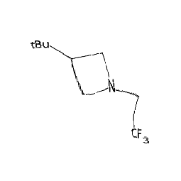 CC(C)(C)C1CN(CC(F)(F)F)C1